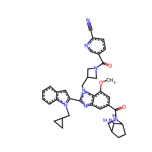 COc1cc(C(=O)N2CC3CCC2[C@@H]3N)cc2nc(-c3cc4ccccc4n3CC3CC3)n(CC3CN(C(=O)c4ccc(C#N)nc4)C3)c12